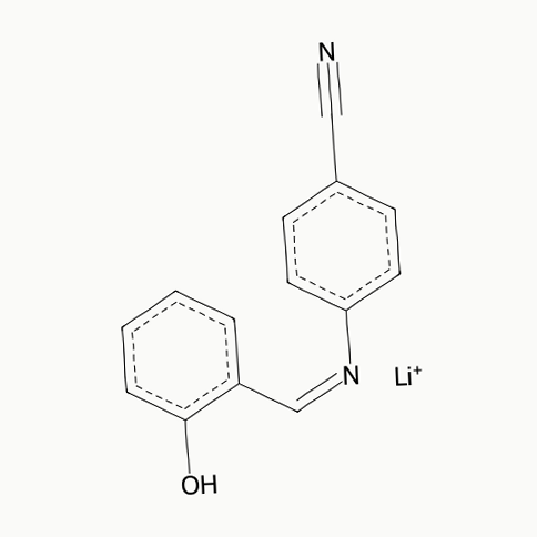 N#Cc1ccc(/N=C\c2ccccc2O)cc1.[Li+]